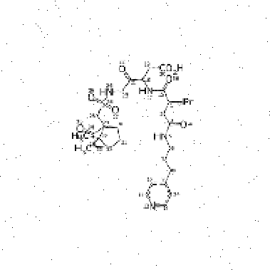 CC(C)C(CC(=O)NCCCc1ccncc1)C(=O)NC(CC(=O)O)C(=O)CNS(=O)(=O)CC12CCC(CC1=O)C2(C)C